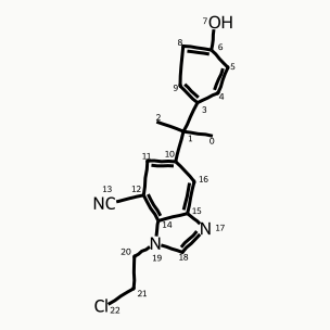 CC(C)(c1ccc(O)cc1)c1cc(C#N)c2c(c1)ncn2CCCl